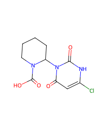 O=C(O)N1CCCCC1n1c(=O)cc(Cl)[nH]c1=O